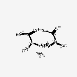 CCCN(CCC)C(=S)S.CCCN(CCC)C(=S)S.N